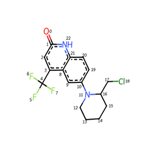 O=c1cc(C(F)(F)F)c2cc(N3CCCCC3CCl)ccc2[nH]1